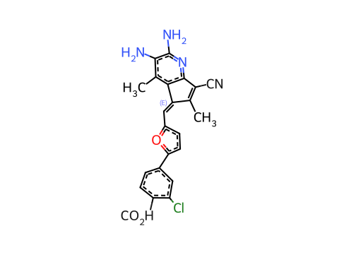 CC1=C(C#N)c2nc(N)c(N)c(C)c2/C1=C/c1ccc(-c2ccc(C(=O)O)c(Cl)c2)o1